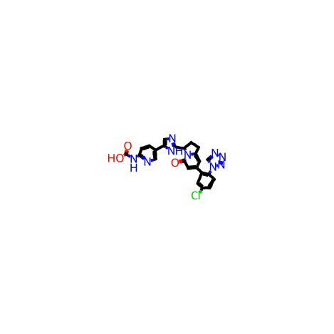 O=C(O)Nc1ccc(-c2cnc(C3CCc4cc(-c5cc(Cl)ccc5-n5cnnn5)cc(=O)n43)[nH]2)cn1